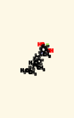 C=C1/C(=C\C=C2CCC[C@@]3(C)C2CC[C@@H]3[C@H](C)CCCC(C)C)C[C@@H](O)[C@H](F)[C@H]1O